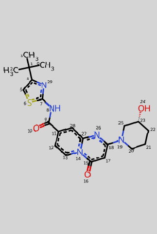 CC(C)(C)c1csc(NC(=O)c2ccn3c(=O)cc(N4CCC[C@@H](O)C4)nc3c2)n1